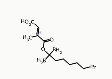 BC(B)(CCCCCC(C)C)OC(=O)/C(C)=C/C(=O)O